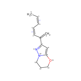 C=C(/C=C\C=C/C)c1cc2n(n1)CCCO2